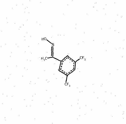 C/C(=N\O)c1cc(C(F)(F)F)cc(C(F)(F)F)c1